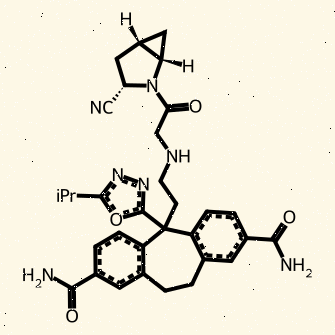 CC(C)c1nnc(C2(CCNCC(=O)N3[C@H](C#N)C[C@@H]4C[C@@H]43)c3ccc(C(N)=O)cc3CCc3cc(C(N)=O)ccc32)o1